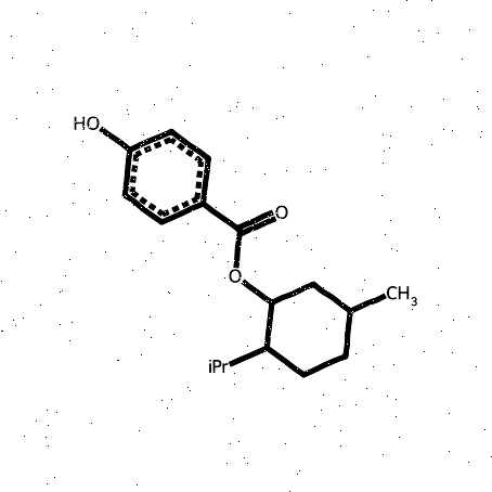 CC1CCC(C(C)C)C(OC(=O)c2ccc(O)cc2)C1